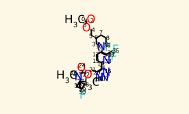 CC(=O)OCC[C@H]1CCCN(c2ccc(-c3nnn(C)c3COC(=O)N(C)C34CC(F)(C3)C4)nc2C(F)(F)F)C1